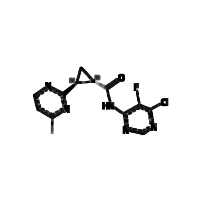 Cc1ccnc([C@H]2C[C@@H]2C(=O)Nc2ncnc(Cl)c2F)n1